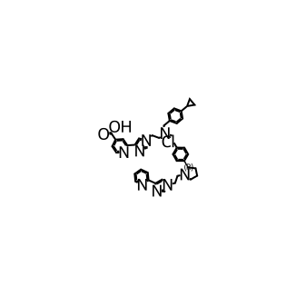 CN(CCn1cnc(-c2cc(C(=O)O)ccn2)c1)Cc1ccc(C2CC2)cc1.Clc1ccc([C@H]2CCCN2CCn2cnc(-c3ccccn3)c2)cc1